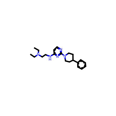 CCN(CC)CCNc1ccnc(N2CCC(c3ccccc3)CC2)n1